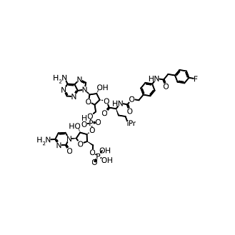 CC(C)CC[C@H](NC(=O)OCc1ccc(NC(=O)Cc2ccc(F)cc2)cc1)C(=O)O[C@@H]1C(COP(=O)(O)O[C@H]2[C@@H](O)[C@H](n3ccc(N)nc3=O)O[C@@H]2COP(=O)(O)O)O[C@@H](n2cnc3c(N)ncnc32)[C@@H]1O